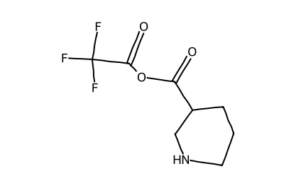 O=C(OC(=O)C(F)(F)F)C1CCCNC1